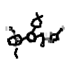 CCC[C@@]12C=C[C@@](CO)(CC(c3ccc(NC(=O)c4nc(C#N)c[nH]4)c(C4=CCC(C)(C)CC4)c3)=C1)O2